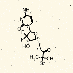 CC(C)(Br)C(=O)OC[C@H]1OC(n2ccc(N)nc2=O)C(F)(F)[C@H]1O